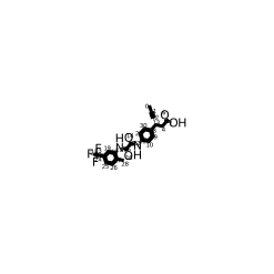 CC#C[C@H](CC(=O)O)c1ccc(NC(=O)C(=O)Nc2cc(C(F)(F)F)ccc2C)cc1